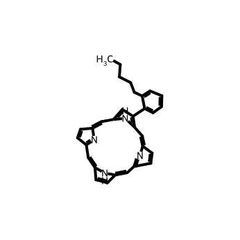 CCCCCc1ccccc1-c1cc2cc3nc(cc4ccc(cc5nc(cc1[nH]2)C=C5)[nH]4)C=C3